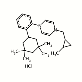 CC1CC1CN1C=CN(c2ccccc2C2CC(C)(C)CC(C)(C)C2)C=C1.Cl